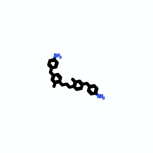 Cc1cc(Cc2ccc(N)cc2)ccc1CCCc1ccc(Cc2ccc(N)cc2)cc1C